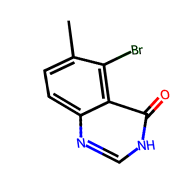 Cc1ccc2nc[nH]c(=O)c2c1Br